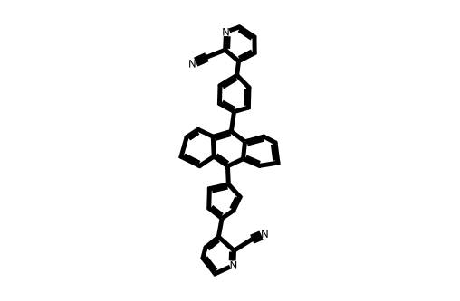 N#Cc1ncccc1-c1ccc(-c2c3ccccc3c(-c3ccc(-c4cccnc4C#N)cc3)c3ccccc23)cc1